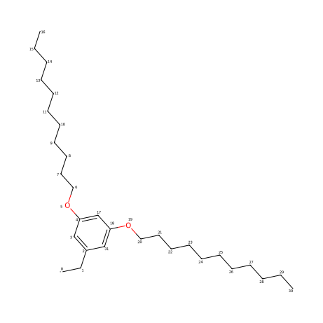 [CH2]Cc1cc(OCCCCCCCCCCC)cc(OCCCCCCCCCCC)c1